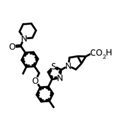 Cc1ccc(OCc2ccc(C(=O)N3CCCCC3)cc2C)c(-c2csc(N3CC4C(C3)C4C(=O)O)n2)c1